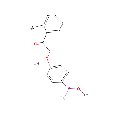 CCOP(c1ccc(OCC(=O)c2ccccc2C)cc1)C(F)(F)F.[LiH]